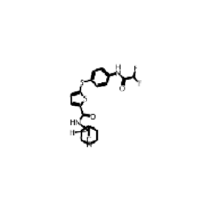 O=C(N[C@H]1CN2CCC1CC2)c1ccc(Sc2ccc(NC(=O)C(F)F)cc2)s1